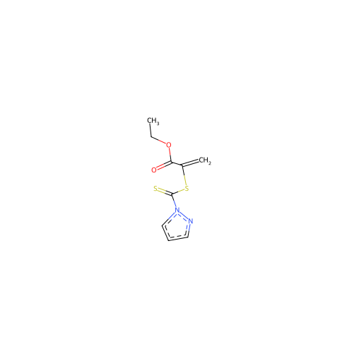 C=C(SC(=S)n1cccn1)C(=O)OCC